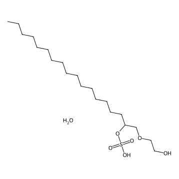 CCCCCCCCCCCCCCCCC(COCCO)OS(=O)(=O)O.O